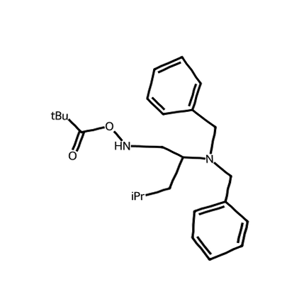 CC(C)CC(CNOC(=O)C(C)(C)C)N(Cc1ccccc1)Cc1ccccc1